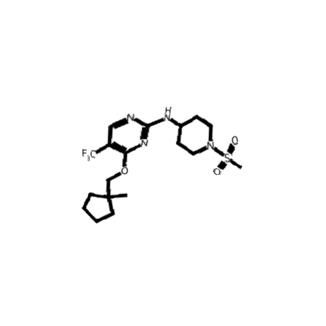 CC1(COc2nc(NC3CCN(S(C)(=O)=O)CC3)ncc2C(F)(F)F)CCCC1